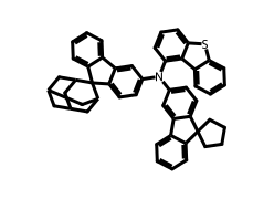 c1ccc2c(c1)-c1cc(N(c3ccc4c(c3)-c3ccccc3C43C4CC5CC(C4)CC3C5)c3cccc4sc5ccccc5c34)ccc1C21CCCC1